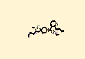 C=C/C=C(\N=C/C)c1ncccc1C(=O)N1CCC(F)(C/C(=C/C=C\C)N=C)CC1